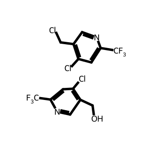 FC(F)(F)c1cc(Cl)c(CCl)cn1.OCc1cnc(C(F)(F)F)cc1Cl